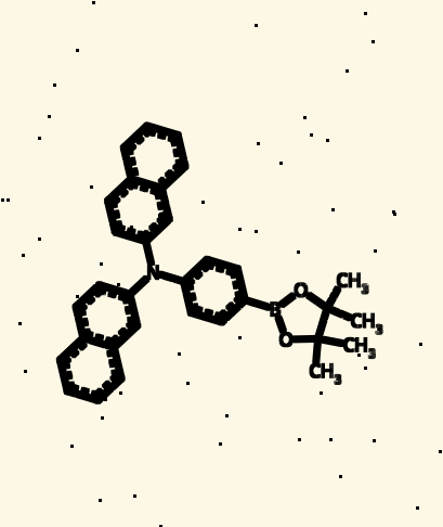 CC1(C)OB(c2ccc(N(c3ccc4ccccc4c3)c3ccc4ccccc4c3)cc2)OC1(C)C